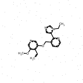 C=Cc1c(OC)cncc1OCc1cccnc1-c1cncn1CC